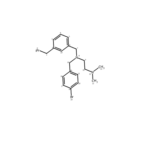 CC(C)Cc1cccc(CN(CCN(C)C)Cc2ccc(Br)cc2)c1